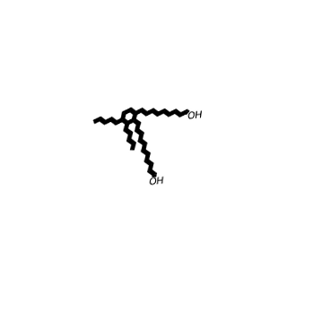 CCCCCC1CCC(CCCCCCCCCO)C(CCCCCCCCCCCO)C1CCCCC